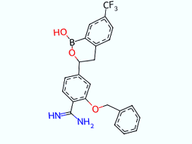 N=C(N)c1ccc(C2Cc3ccc(C(F)(F)F)cc3B(O)O2)cc1OCc1ccccc1